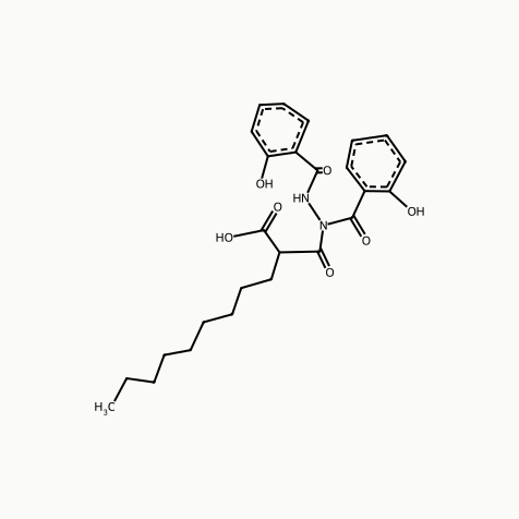 CCCCCCCCCC(C(=O)O)C(=O)N(NC(=O)c1ccccc1O)C(=O)c1ccccc1O